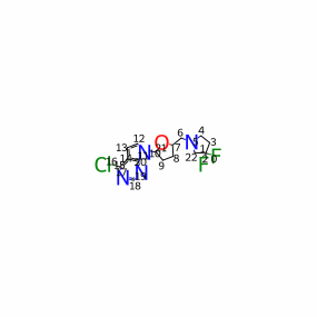 FC1(F)CCN(CC2CCC(n3ccc4c(Cl)ncnc43)O2)C1